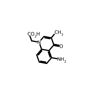 Cc1cn(CC(=O)O)c2cccc(N)c2c1=O